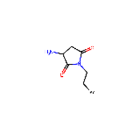 CC(=O)CCN1C(=O)CC(N)C1=O